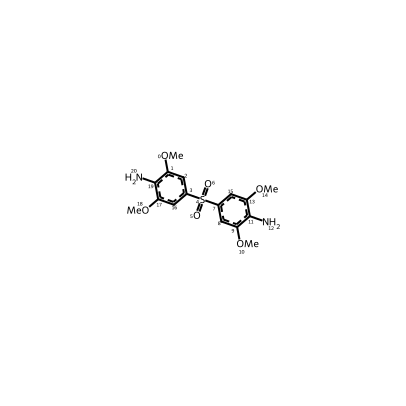 COc1cc(S(=O)(=O)c2cc(OC)c(N)c(OC)c2)cc(OC)c1N